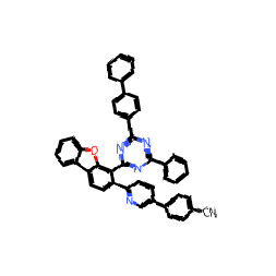 N#Cc1ccc(-c2ccc(-c3ccc4c(oc5ccccc54)c3-c3nc(-c4ccccc4)nc(-c4ccc(-c5ccccc5)cc4)n3)nc2)cc1